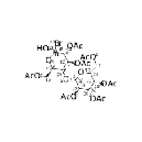 CC(=O)OC[C@H]1O[C@@H](O[C@@H]2[C@H](OC(C)=O)[C@@H](OC(C)=O)[C@](O)(Br)O[C@@H]2COC(C)=O)[C@H](OC(C)=O)[C@@H](OC(C)=O)[C@H]1OC(C)=O